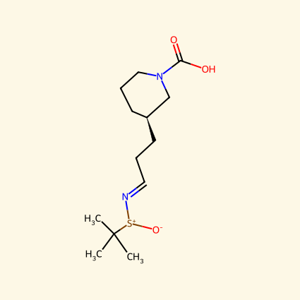 CC(C)(C)[S+]([O-])/N=C/CC[C@H]1CCCN(C(=O)O)C1